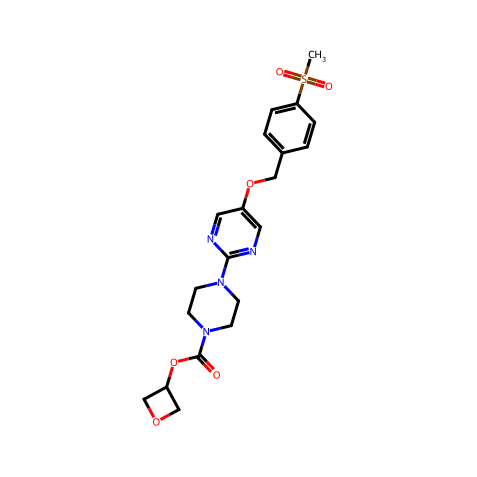 CS(=O)(=O)c1ccc(COc2cnc(N3CCN(C(=O)OC4COC4)CC3)nc2)cc1